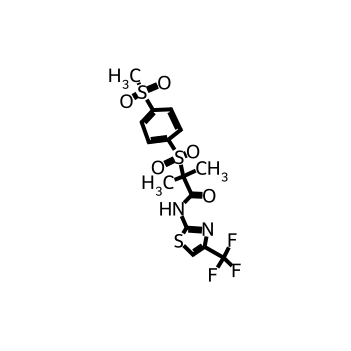 CC(C)(C(=O)Nc1nc(C(F)(F)F)cs1)S(=O)(=O)c1ccc(S(C)(=O)=O)cc1